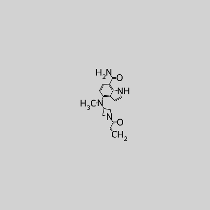 C=CC(=O)N1CC(N(C)c2ccc(C(N)=O)c3[nH]ccc23)C1